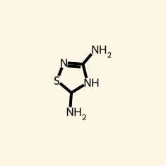 NC1=NSC(N)N1